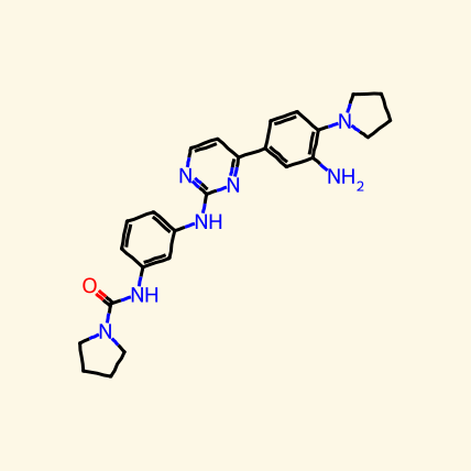 Nc1cc(-c2ccnc(Nc3cccc(NC(=O)N4CCCC4)c3)n2)ccc1N1CCCC1